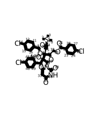 C[Si](C)(C)C#C[C@@]1(OC(=O)c2ccc(Cl)cc2)[C@@H](COC(=O)c2ccc(Cl)cc2)O[C@@H](n2ccc(=O)[nH]c2=O)[C@@]1(O)C(=O)c1ccc(Cl)cc1